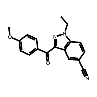 CCn1nc(C(=O)c2ccc(OC)cc2)c2cc(C#N)ccc21